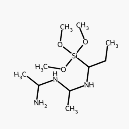 CCC(NC(C)NC(C)N)[Si](OC)(OC)OC